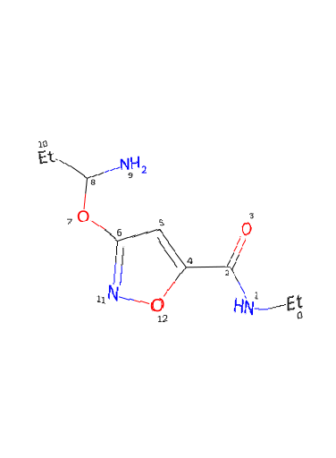 CCNC(=O)c1cc(OC(N)CC)no1